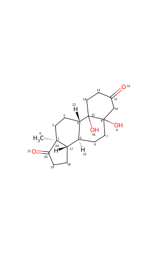 C[C@]12CC[C@H]3[C@@H](CCC4(O)CC(=O)CCC34O)[C@@H]1CCC2=O